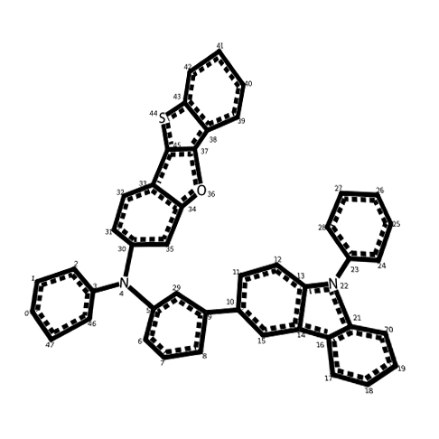 c1ccc(N(c2cccc(-c3ccc4c(c3)c3ccccc3n4-c3ccccc3)c2)c2ccc3c(c2)oc2c4ccccc4sc32)cc1